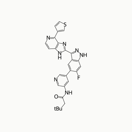 CC(C)(C)CC(=O)Nc1cncc(-c2cc3c(-c4nc5c(-c6ccsc6)nccc5[nH]4)n[nH]c3cc2F)c1